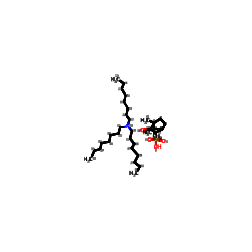 CC12CCC(C(S(=O)(=O)O)C1=O)C2(C)C.CCCCCCCCN(CCCCCCCC)CCCCCCCC